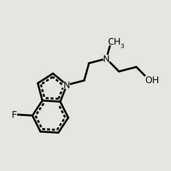 CN(CCO)CCn1ccc2c(F)cccc21